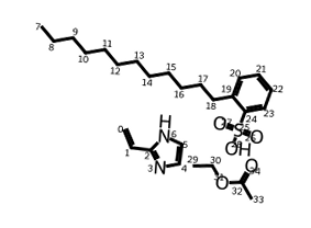 C=Cc1ncc[nH]1.CCCCCCCCCCCCc1ccccc1S(=O)(=O)O.CCOC(C)=O